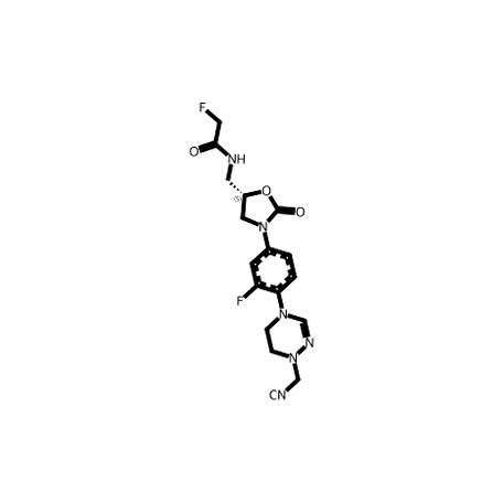 [C-]#[N+]CN1CCN(c2ccc(N3C[C@H](CNC(=O)CF)OC3=O)cc2F)C=N1